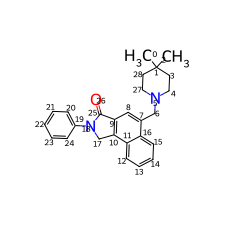 CC1(C)CCN(Cc2cc3c(c4ccccc24)CN(c2ccccc2)C3=O)CC1